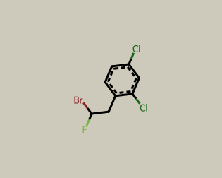 FC(Br)Cc1ccc(Cl)cc1Cl